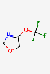 FC(F)(F)OC1=NCO[CH]1